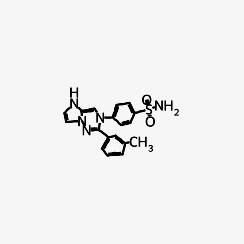 Cc1cccc(C2=NN3C=CNC3=CN2c2ccc(S(N)(=O)=O)cc2)c1